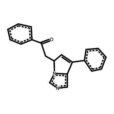 O=C(CC1C=C(c2ccccc2)c2cncn21)c1ccccc1